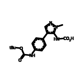 Cn1ncc(-c2ccc(NC(=O)OC(C)(C)C)cc2)c1NC(=O)O